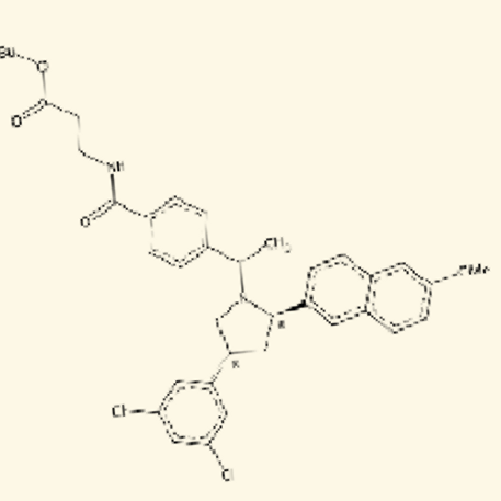 COc1ccc2cc([C@H]3C[C@H](c4cc(Cl)cc(Cl)c4)CN3C(C)c3ccc(C(=O)NCCC(=O)OC(C)(C)C)cc3)ccc2c1